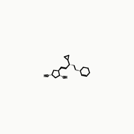 O[C@H]1C[C@@H](O)[C@H](/C=C/[C@@H](CC[C@H]2C=CCCC2)C2CC2)C1